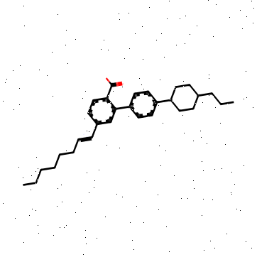 CCCCCC/C=C/c1ccc(C(=O)O)c(-c2ccc(C3CCC(CCC)CC3)cc2)c1